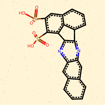 O=S(=O)(O)c1cc2cccc3c2c(c1S(=O)(=O)O)-c1nc2cc4ccccc4cc2nc1-3